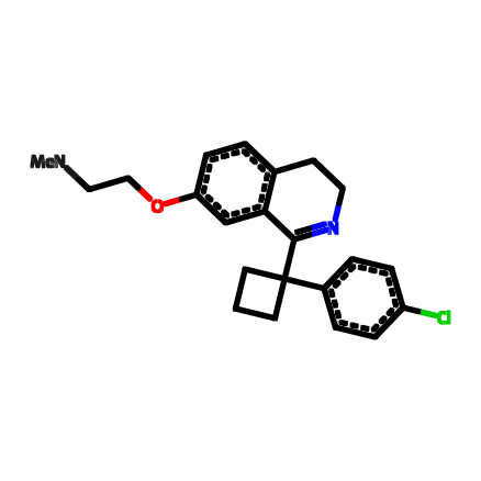 CNCCOc1ccc2c(c1)C(C1(c3ccc(Cl)cc3)CCC1)=NCC2